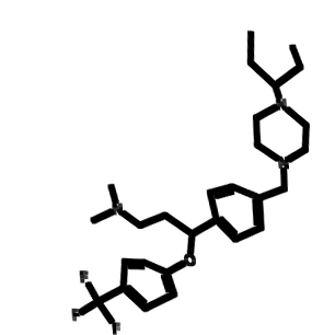 CCC(CC)N1CCN(Cc2ccc(C(CCN(C)C)Oc3ccc(C(F)(F)F)cc3)cc2)CC1